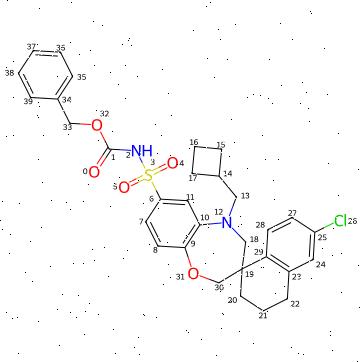 O=C(NS(=O)(=O)c1ccc2c(c1)N(CC1CCC1)CC1(CCCc3cc(Cl)ccc31)CO2)OCc1ccccc1